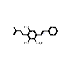 C=C(C)CCc1c(O)cc(/C=C/c2ccccc2)c(C(=O)O)c1O